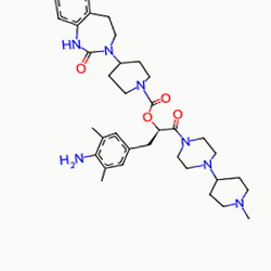 Cc1cc(C[C@@H](OC(=O)N2CCC(N3CCc4ccccc4NC3=O)CC2)C(=O)N2CCN(C3CCN(C)CC3)CC2)cc(C)c1N